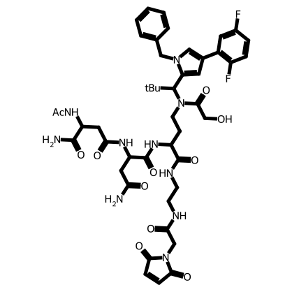 CC(=O)NC(CC(=O)NC(CC(N)=O)C(=O)NC(CCN(C(=O)CO)C(c1cc(-c2cc(F)ccc2F)cn1Cc1ccccc1)C(C)(C)C)C(=O)NCCNC(=O)CN1C(=O)C=CC1=O)C(N)=O